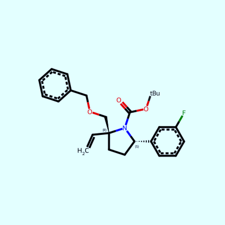 C=C[C@@]1(COCc2ccccc2)CC[C@@H](c2cccc(F)c2)N1C(=O)OC(C)(C)C